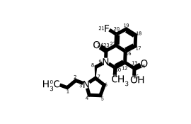 CCCN1CCC[C@@H]1Cn1c(C)c(C(=O)O)c2cccc(F)c2c1=O